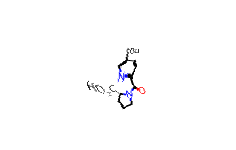 CC(C)(C)c1ccc(C(=O)N2CCC[C@@H]2C(=O)O)nc1